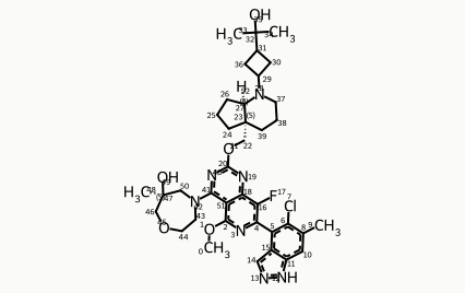 COc1nc(-c2c(Cl)c(C)cc3[nH]ncc23)c(F)c2nc(OC[C@]34CCC[C@H]3N(C3CC(C(C)(C)O)C3)CCC4)nc(N3CCOC[C@@](C)(O)C3)c12